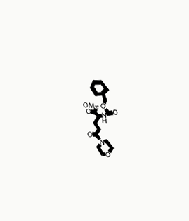 COC(=O)C(CCC(=O)N1CCOCC1)NC(=O)OCc1ccccc1